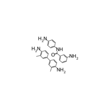 Cc1cc(-c2ccc(N)c(C)c2)ccc1N.Nc1ccc(NC(=O)c2cccc(N)c2)cc1